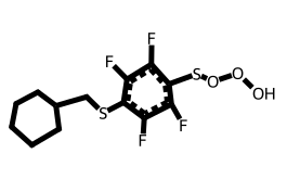 OOOSc1c(F)c(F)c(SCC2CCCCC2)c(F)c1F